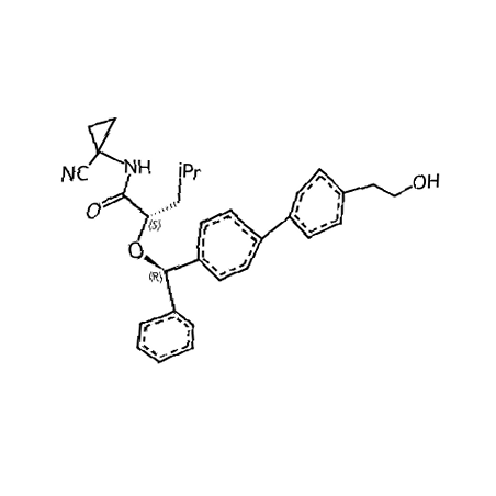 CC(C)C[C@H](O[C@H](c1ccccc1)c1ccc(-c2ccc(CCO)cc2)cc1)C(=O)NC1(C#N)CC1